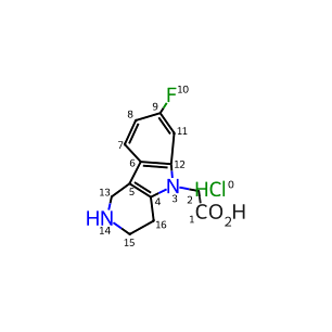 Cl.O=C(O)Cn1c2c(c3ccc(F)cc31)CNCC2